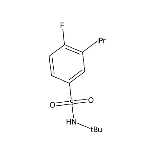 CC(C)c1cc(S(=O)(=O)NC(C)(C)C)ccc1F